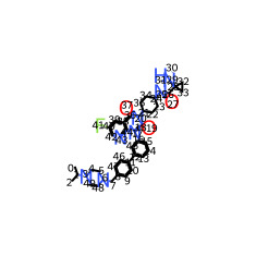 CC(C)N1CCN(Cc2ccc(-c3cccc(-n4c(=O)n(C5CCC(NC(=O)C6(N(C)C)CC6)CC5)c(=O)c5cc(F)cnc54)c3)cc2)CC1